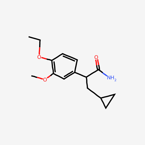 CCOc1ccc(C(CC2CC2)C(N)=O)cc1OC